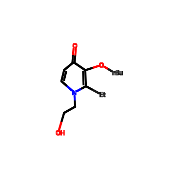 CCCCOc1c(CC)n(CCO)ccc1=O